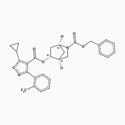 O=C(O[C@@H]1C[C@@H]2C[C@H]1CN2C(=O)OCc1ccccc1)c1c(-c2ccccc2C(F)(F)F)noc1C1CC1